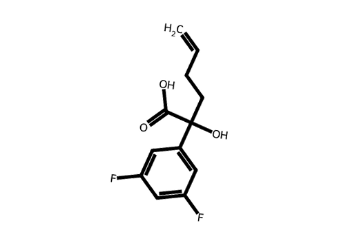 C=CCCC(O)(C(=O)O)c1cc(F)cc(F)c1